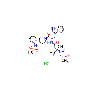 C[C@@H](O)CNC(C)(C)CC(=O)N[C@H](Cc1c[nH]c2ccccc12)C(=O)N1CCC2(CC1)CN(S(C)(=O)=O)c1ccccc12.Cl